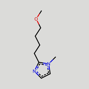 COCCCCc1nccn1C